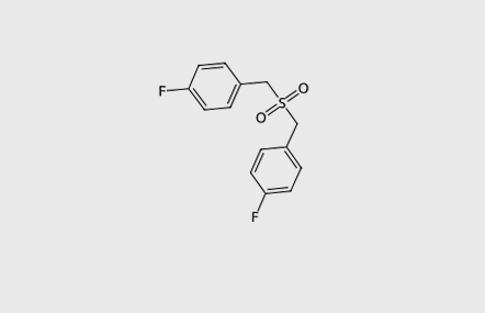 O=S(=O)(Cc1ccc(F)cc1)Cc1ccc(F)cc1